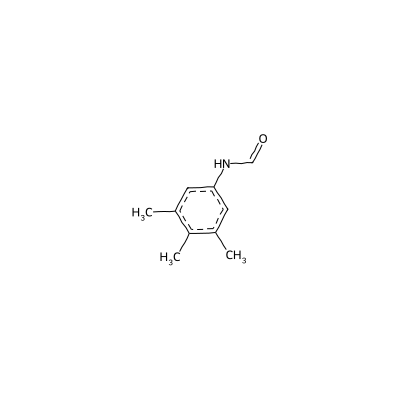 Cc1cc(NC=O)cc(C)c1C